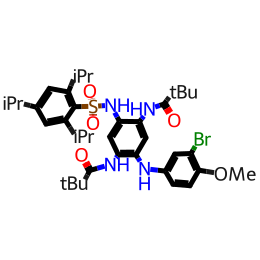 COc1ccc(Nc2cc(NC(=O)C(C)(C)C)c(NS(=O)(=O)c3c(C(C)C)cc(C(C)C)cc3C(C)C)cc2NC(=O)C(C)(C)C)cc1Br